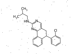 CC(C)CNc1ncc2c(n1)-c1ccccc1C(c1ccccc1Cl)C2